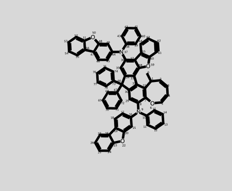 CC1/C=C\C=C/Oc2c(N(c3ccccc3)c3ccc4c(c3)oc3ccccc34)cc3c(c21)-c1c(cc(N(c2ccccc2)c2ccc4c(c2)oc2ccccc24)c2c1oc1c#cccc12)C3(c1ccccc1)c1ccccc1